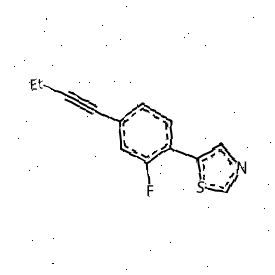 CCC#Cc1ccc(-c2cncs2)c(F)c1